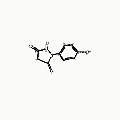 O=C1CC(=O)N(c2ccc(Br)cc2)N1